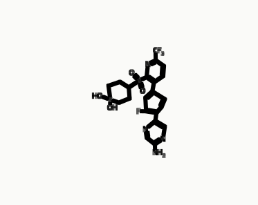 Nc1cnc(-c2ccc(-c3ccc(C(F)(F)F)nc3S(=O)(=O)C3CCS(O)(O)CC3)cc2F)cn1